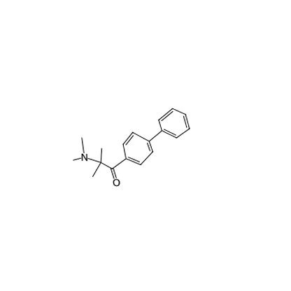 CN(C)C(C)(C)C(=O)c1ccc(-c2ccccc2)cc1